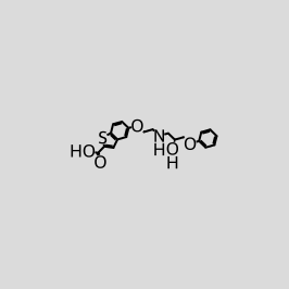 O=C(O)c1cc2cc(OCCNC[C@H](O)COc3ccccc3)ccc2s1